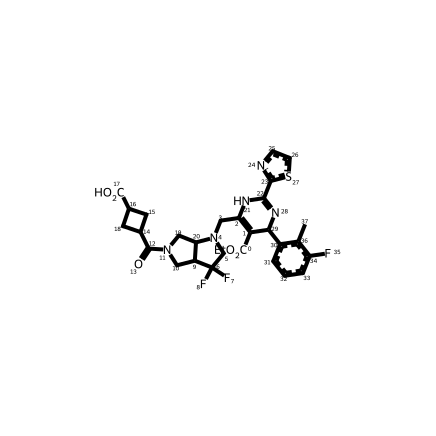 CCOC(=O)C1=C(CN2CC(F)(F)C3CN(C(=O)C4CC(C(=O)O)C4)CC32)NC(c2nccs2)=NC1c1cccc(F)c1C